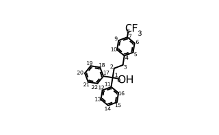 OC(CCc1ccc(C(F)(F)F)cc1)(c1ccccc1)c1ccccc1